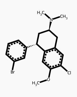 COc1cc2c(cc1Cl)C[C@H](N(C)C)C[C@H]2c1cccc(Br)c1